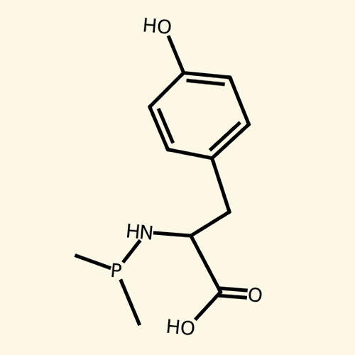 CP(C)NC(Cc1ccc(O)cc1)C(=O)O